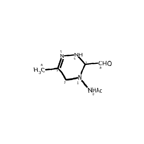 CC(=O)NN1CC(C)=NNC1C=O